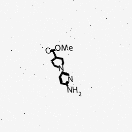 COC(=O)C1CCN(c2ccc(N)nc2)CC1